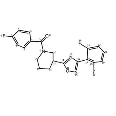 O=C(c1ccc(F)cc1)N1CCCC(c2nc(-c3c(F)cccc3F)no2)C1